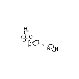 Cc1ccoc1C(=O)Nc1ccc(C#Cc2ccc3nccn3n2)cc1